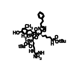 Cc1cc(O)cc(C)c1C[C@H](NC(=O)[C@@H](CCCNC(=N)N)NC(=O)OC(C)(C)C)C(=O)N[C@@H](CCCCNC(=O)OC(C)(C)C)c1nc(CCc2ccccc2)no1